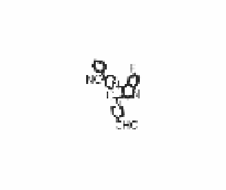 N#CC1(c2ccccc2)CCN(c2c(C(=O)N3CCC(C=O)CC3)cnc3ccc(F)cc23)CC1